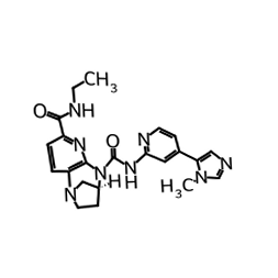 CCNC(=O)c1ccc2c(n1)N(C(=O)Nc1cc(-c3cncn3C)ccn1)[C@H]1CCN2C1